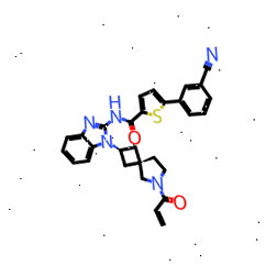 C=CC(=O)N1CC[C@]2(C1)C[C@H](n1c(NC(=O)c3ccc(-c4cccc(C#N)c4)s3)nc3ccccc31)C2